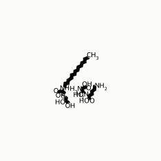 CCCCCCCCCCCCCCCCNC(CSCC(O)CO)C(=O)O.NC(CO)C(=O)O.NCCCCC(N)C(=O)O